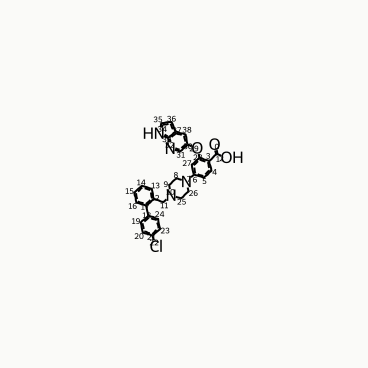 O=C(O)c1ccc(N2CCN(Cc3ccccc3-c3ccc(Cl)cc3)CC2)cc1Oc1cnc2[nH]ccc2c1